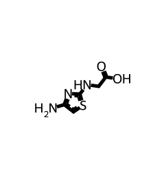 Nc1csc(NCC(=O)O)n1